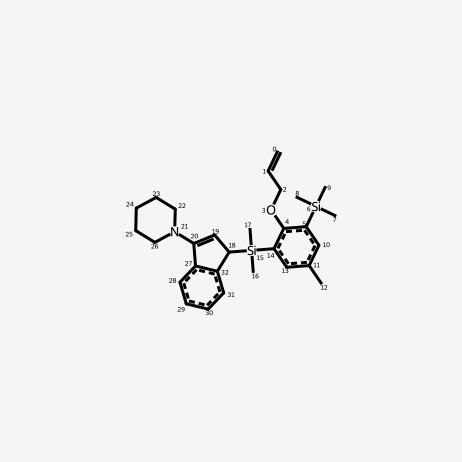 C=CCOc1c([Si](C)(C)C)cc(C)cc1[Si](C)(C)C1C=C(N2CCCCC2)c2ccccc21